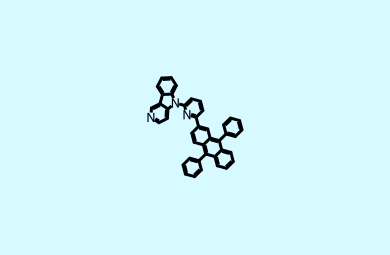 c1ccc(-c2c3ccccc3c(-c3ccccc3)c3cc(-c4cccc(-n5c6ccccc6c6cnccc65)n4)ccc23)cc1